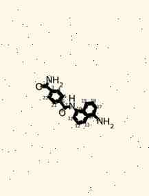 NC(=O)c1ccc(C(=O)Nc2cccc3c(N)cccc23)cc1